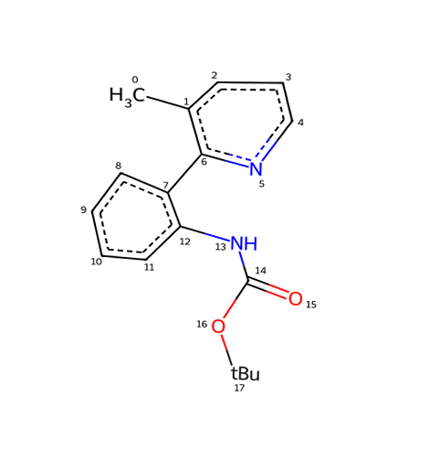 Cc1cccnc1-c1ccccc1NC(=O)OC(C)(C)C